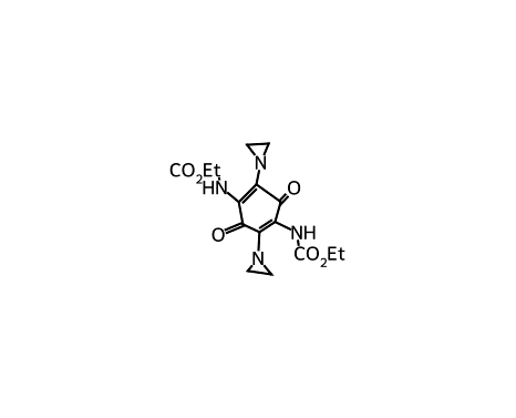 CCOC(=O)NC1=C(N2CC2)C(=O)C(NC(=O)OCC)=C(N2CC2)C1=O